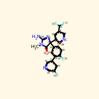 CN1C(=O)C(c2cncc(C(F)F)c2)(c2cc(-c3cncc(F)c3)c(F)cc2F)N=C1N